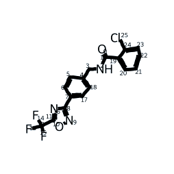 O=C(NCc1ccc(-c2noc(C(F)(F)F)n2)cc1)c1ccccc1Cl